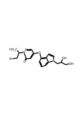 CC(C)CC(C(=O)O)n1ncc(Oc2cccc3c2ccn3CC(O)CO)cc1=O